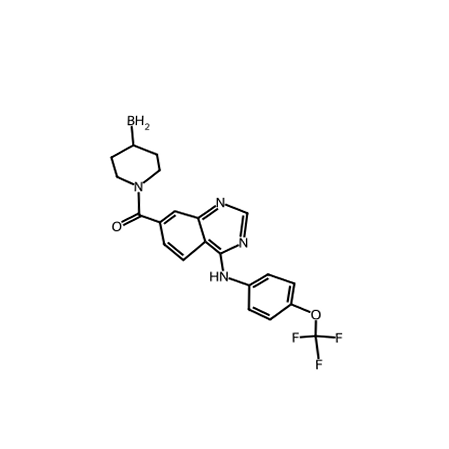 BC1CCN(C(=O)c2ccc3c(Nc4ccc(OC(F)(F)F)cc4)ncnc3c2)CC1